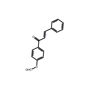 O=COc1ccc(C(=O)/C=C/c2ccccc2)cc1